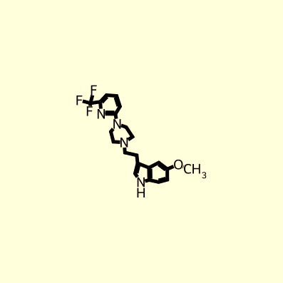 COc1ccc2[nH]cc(CCN3CCN(c4cccc(C(F)(F)F)n4)CC3)c2c1